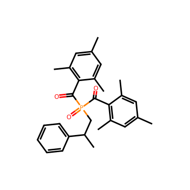 Cc1cc(C)c(C(=O)P(=O)(CC(C)c2ccccc2)C(=O)c2c(C)cc(C)cc2C)c(C)c1